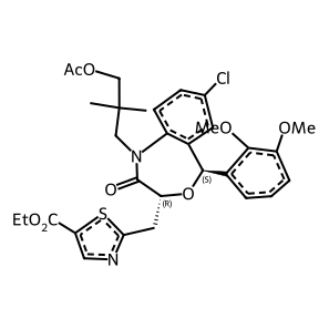 CCOC(=O)c1cnc(C[C@H]2O[C@H](c3cccc(OC)c3OC)c3cc(Cl)ccc3N(CC(C)(C)COC(C)=O)C2=O)s1